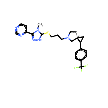 CN1C(c2ccncn2)=NNC1SCCCN1CC[C@@]2(CC2c2ccc(C(F)(F)F)cc2)C1